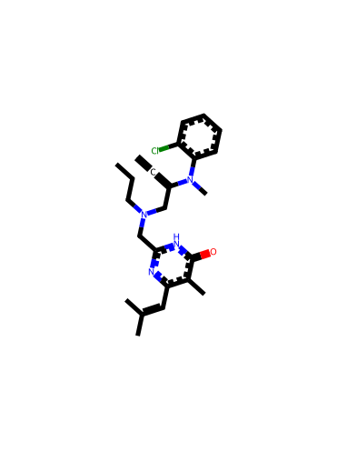 C=C=C(CN(CCC)Cc1nc(C=C(C)C)c(C)c(=O)[nH]1)N(C)c1ccccc1Cl